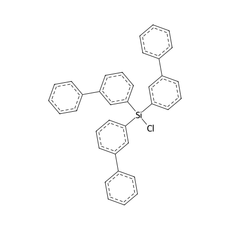 Cl[Si](c1cccc(-c2ccccc2)c1)(c1cccc(-c2ccccc2)c1)c1cccc(-c2ccccc2)c1